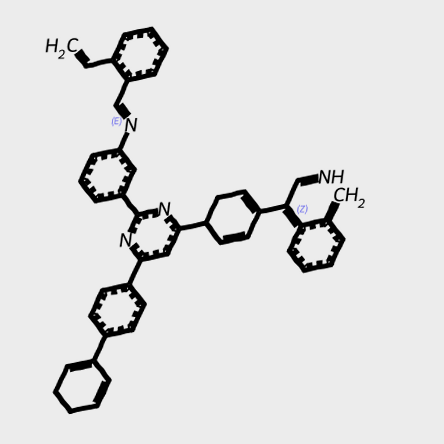 C=Cc1ccccc1/C=N/c1cccc(-c2nc(-c3ccc(C4=CCCC=C4)cc3)cc(C3C=CC(/C(C=N)=c4\ccccc4=C)=CC3)n2)c1